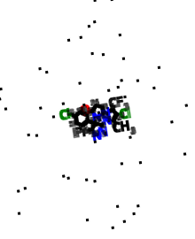 Cc1c(Cl)c(C(F)(F)F)nn1C1=NN=C(C(C)C)C1(c1ccc(Cl)cc1)N1CCCC1=O